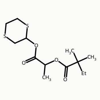 CCC(C)(C)C(=O)OC(C)C(=O)OC1CSCCS1